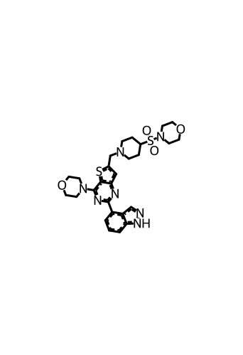 O=S(=O)(C1CCN(Cc2cc3nc(-c4cccc5[nH]ncc45)nc(N4CCOCC4)c3s2)CC1)N1CCOCC1